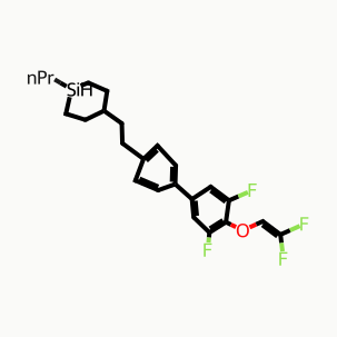 CCC[SiH]1CCC(CCc2ccc(-c3cc(F)c(OC=C(F)F)c(F)c3)cc2)CC1